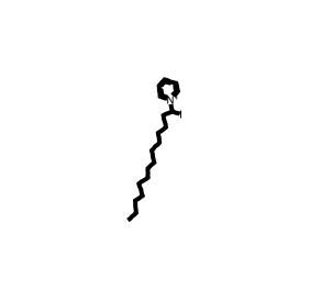 CCCCCCCCCCCCCC(I)[n+]1ccccc1